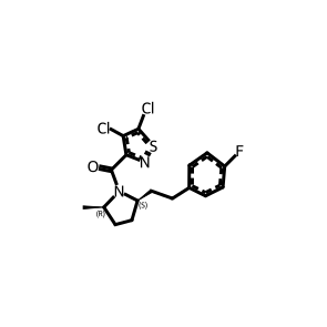 C[C@@H]1CC[C@H](CCc2ccc(F)cc2)N1C(=O)c1nsc(Cl)c1Cl